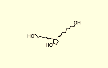 OCCCC/C=C/C[C@H]1[C@H](O)CC[C@H]1C=CCCCCCCO